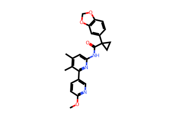 COc1ccc(-c2nc(NC(=O)C3(c4ccc5c(c4)OCO5)CC3)cc(C)c2C)cn1